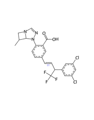 CC1CN2C=NN(c3ccc(/C=C/C(c4cc(Cl)cc(Cl)c4)C(F)(F)F)cc3C(=O)O)C12